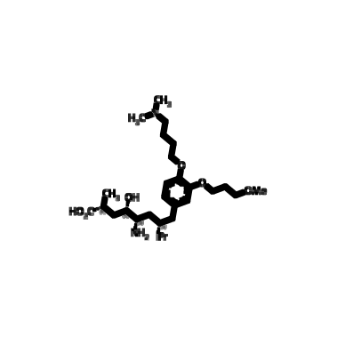 COCCCOc1cc(C[C@@H](C[C@H](N)[C@@H](O)C[C@@H](C)C(=O)O)C(C)C)ccc1OCCCCN(C)C